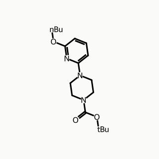 CCCCOc1cccc(N2CCN(C(=O)OC(C)(C)C)CC2)n1